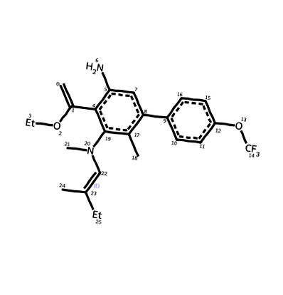 C=C(OCC)c1c(N)cc(-c2ccc(OC(F)(F)F)cc2)c(C)c1N(C)/C=C(\C)CC